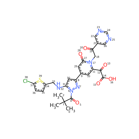 CC(C)(C)C(=O)n1nc(-c2cc(C(=O)C(=O)O)n(CC(=O)c3cncnc3)c(=O)c2)cc1NCc1ccc(Cl)s1